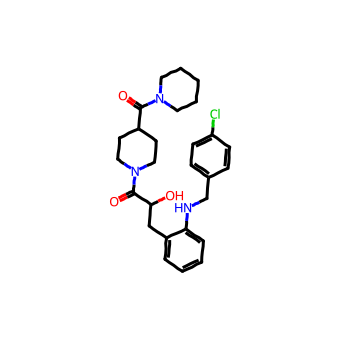 O=C(C(O)Cc1ccccc1NCc1ccc(Cl)cc1)N1CCC(C(=O)N2CCCCC2)CC1